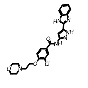 O=C(Nc1cc(-c2nc3ccccc3[nH]2)[nH]n1)c1ccc(OCCN2CCOCC2)c(Cl)c1